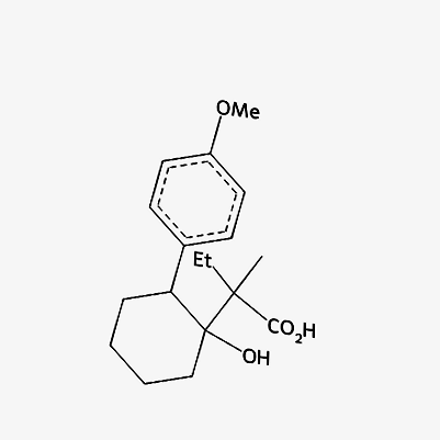 CCC(C)(C(=O)O)C1(O)CCCCC1c1ccc(OC)cc1